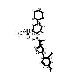 CNC(=O)[C@@H]1CN(C2CCCCC2)CC[C@H]1NC(=O)c1cc(-c2ccc(F)cc2F)on1